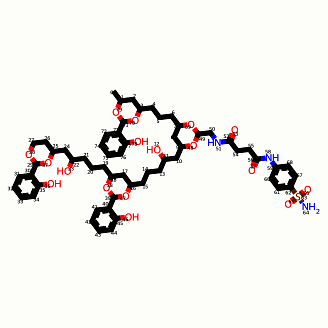 CC1CC(CCCC2CC(CC(O)CCCC3CC(CCCC(O)CC4CCOC(c5ccccc5O)O4)OC(c4ccccc4O)O3)OC(CNC(=O)CCC(=O)Nc3ccc(S(N)(=O)=O)cc3)O2)OC(c2ccccc2O)O1